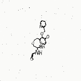 O=CNC1COCCc2c(OCc3ccccn3)c(=O)ccn2N1